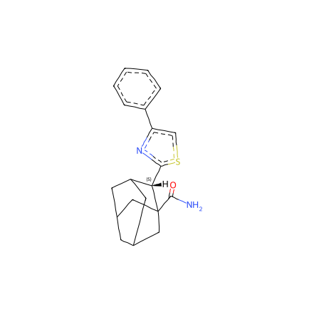 NC(=O)C12CC3CC(CC(C3)[C@@H]1c1nc(-c3ccccc3)cs1)C2